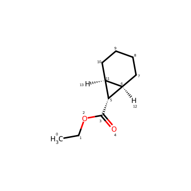 CCOC(=O)[C@H]1[C@@H]2CCCC[C@@H]21